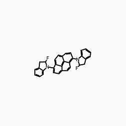 FC1Cc2ccccc2N1c1ccc2ccc3c(N4c5ccccc5CC4F)ccc4ccc1c2c43